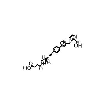 C[C@H](O)c1nccn1Cc1cc(-c2ccc(C#C[C@@H]3[C@H]4CN(C(=O)CCC(=O)O)C[C@@H]34)cc2)on1